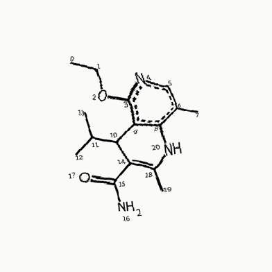 CCOc1ncc(C)c2c1C(C(C)C)C(C(N)=O)=C(C)N2